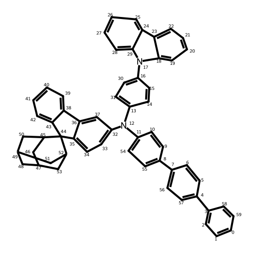 c1ccc(-c2ccc(-c3ccc(N(c4ccc(-n5c6ccccc6c6ccccc65)cc4)c4ccc5c(c4)-c4ccccc4C54C5CC6CC(C5)CC4C6)cc3)cc2)cc1